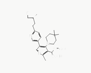 Cc1ncc(-c2ccc(CC[C@H](C)CF)nc2)c(N2CCC(C)(C)CC2)c1C(OC(C)(C)C)C(=O)O